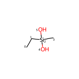 CC[Si](C)(O)O